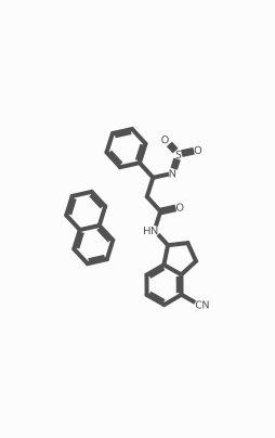 N#Cc1cccc2c1CCC2NC(=O)CC(N=S(=O)=O)c1ccccc1.c1ccc2ccccc2c1